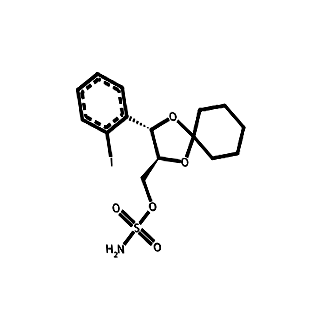 NS(=O)(=O)OC[C@@H]1OC2(CCCCC2)O[C@H]1c1ccccc1I